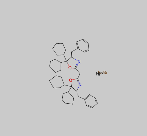 [Br-].[Br-].[Ni+2].c1ccc(C[C@H]2N=C(CC3=N[C@H](Cc4ccccc4)C(C4CCCCC4)(C4CCCCC4)O3)OC2(C2CCCCC2)C2CCCCC2)cc1